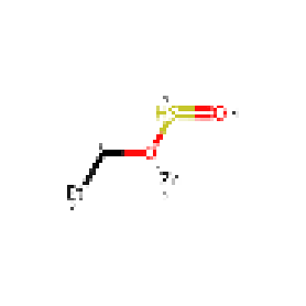 CCCO[SH]=O.[Zn]